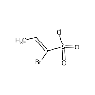 CC=C(Br)S(=O)(=O)Cl